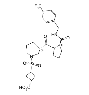 O=C(NCc1ccc(C(F)(F)F)cc1)[C@H]1CCCN1C(=O)[C@H]1CCCN(S(=O)(=O)[C@H]2C[C@@H](C(=O)O)C2)C1